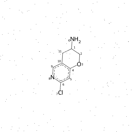 NC1COc2cc(Cl)ncc2C1